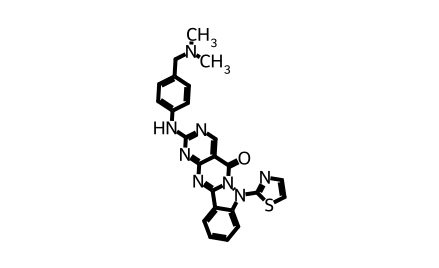 CN(C)Cc1ccc(Nc2ncc3c(=O)n4c(nc3n2)c2ccccc2n4-c2nccs2)cc1